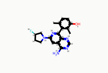 Cc1ccc(O)c(C)c1-c1nc(N2CC[C@@H](F)C2)cc2c(N)ncnc12